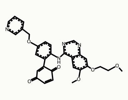 COCCOc1cc2ncnc(Nc3ccc(OCc4cccnc4)cc3C3=CC(=O)C=CC3=O)c2cc1OC